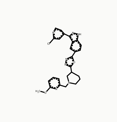 COc1cccc(CN2CCCC(c3nnc(-c4ccc5[nH]nc(-c6ccnc(Cl)c6)c5c4)o3)C2)n1